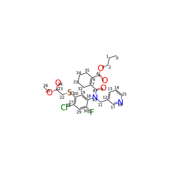 CCCOC(=O)C1=C(C(=O)N(Cc2cccnc2)c2cc(SCC(=O)OC)c(Cl)cc2F)CCCC1